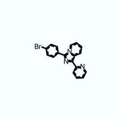 Brc1ccc(-c2nc(-c3ccccn3)c3ccccn23)cc1